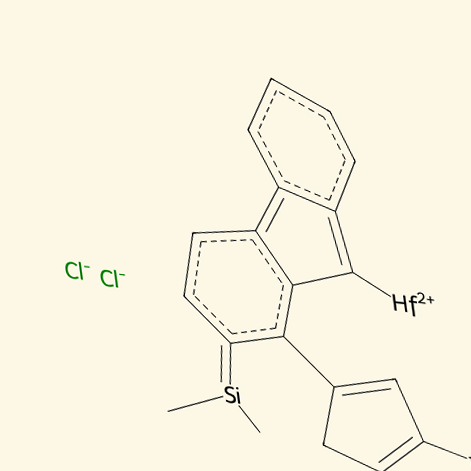 C[Si](C)=c1ccc2c(c1C1=CC(C(C)(C)C)=CC1)[C]([Hf+2])=c1ccccc1=2.[Cl-].[Cl-]